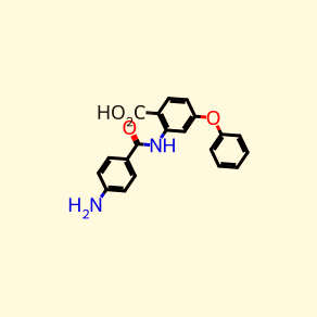 Nc1ccc(C(=O)Nc2cc(Oc3ccccc3)ccc2C(=O)O)cc1